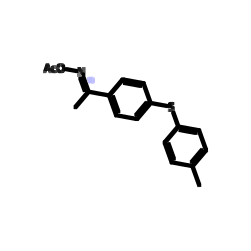 CC(=O)O/N=C(\C)c1ccc(Sc2ccc(C)cc2)cc1